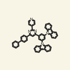 c1ccc(-c2ccc(-c3cc(-c4cc(-n5c6ccccc6c6ccccc65)cc(-n5c6ccccc6c6ccccc65)c4)nc(-c4ccncc4)n3)cc2)cc1